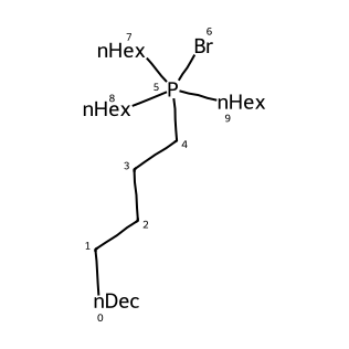 CCCCCCCCCCCCCCP(Br)(CCCCCC)(CCCCCC)CCCCCC